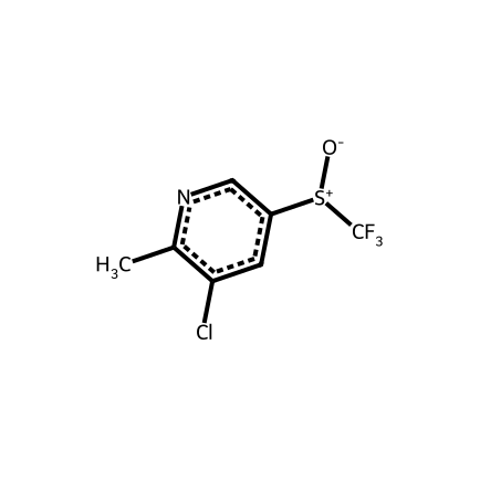 Cc1ncc([S+]([O-])C(F)(F)F)cc1Cl